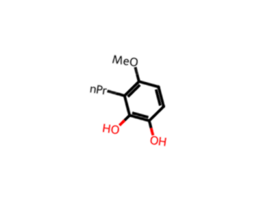 CCCc1c(OC)ccc(O)c1O